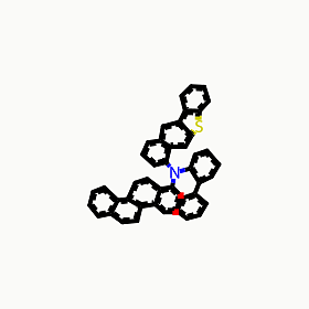 c1ccc(-c2ccccc2N(c2cccc3cc4c(cc23)sc2ccccc24)c2cccc3c2ccc2c4ccccc4ccc32)cc1